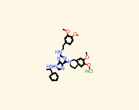 COc1ccc(CCNc2nc(N3CCc4cc(OC)c(OC)cc4C3)c3ncn(NC(C)c4ccccc4)c3n2)cc1OC.Cl